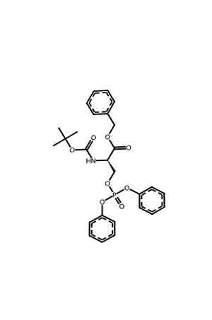 CC(C)(C)OC(=O)N[C@H](COP(=O)(Oc1ccccc1)Oc1ccccc1)C(=O)OCc1ccccc1